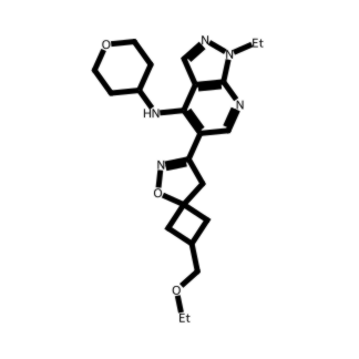 CCOCC1CC2(CC(c3cnc4c(cnn4CC)c3NC3CCOCC3)=NO2)C1